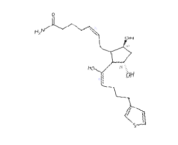 NC(=O)CCC/C=C\CC1C(/C(O)=C\CCCc2ccsc2)[C@@H](O)C[C@@H]1O